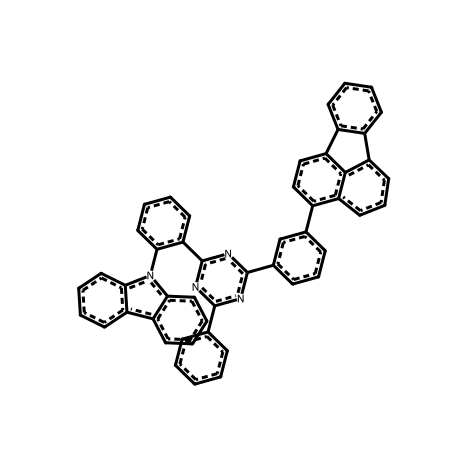 c1ccc(-c2nc(-c3cccc(-c4ccc5c6c(cccc46)-c4ccccc4-5)c3)nc(-c3ccccc3-n3c4ccccc4c4ccccc43)n2)cc1